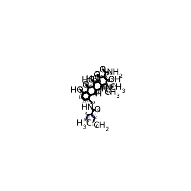 C=C/C=C(\C=C/C)C(=O)NCc1ccc(O)c2c1C[C@H]1C[C@H]3[C@H](N(C)C)C(O)=C(C(N)=O)C(=O)[C@@]3(O)C(O)=C1C2=O